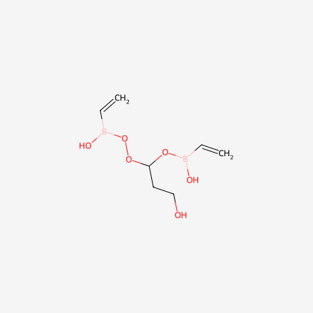 C=CB(O)OOC(CCO)OB(O)C=C